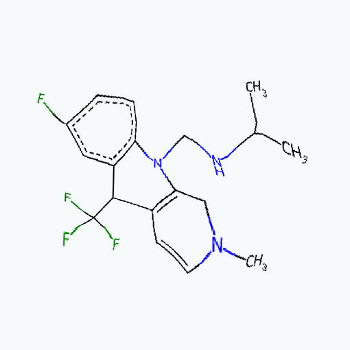 CC(C)NCN1C2=C(C=CN(C)C2)C(C(F)(F)F)c2cc(F)ccc21